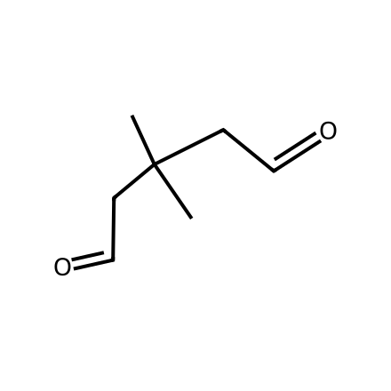 CC(C)(CC=O)CC=O